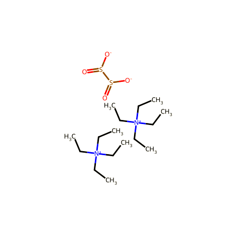 CC[N+](CC)(CC)CC.CC[N+](CC)(CC)CC.O=S([O-])S(=O)[O-]